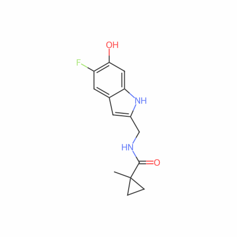 CC1(C(=O)NCc2cc3cc(F)c(O)cc3[nH]2)CC1